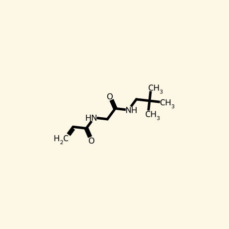 C=CC(=O)NCC(=O)NCC(C)(C)C